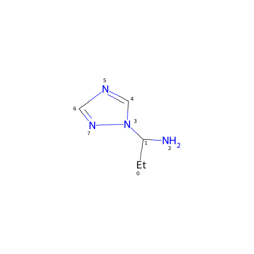 CCC(N)n1cncn1